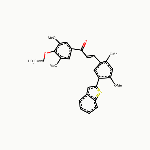 COc1cc(OC)c(-c2cc3ccccc3s2)cc1C=CC(=O)c1cc(OC)c(OCC(=O)O)c(OC)c1